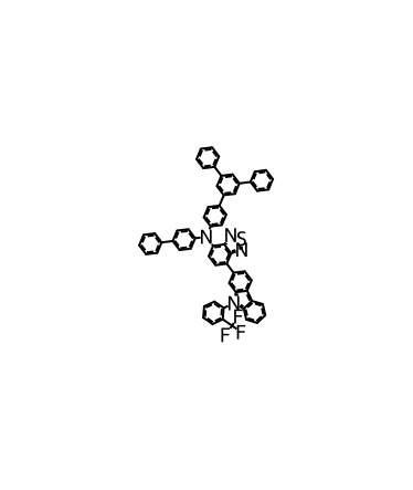 FC(F)(F)c1ccccc1-n1c2ccccc2c2ccc(-c3ccc(N(c4ccc(-c5ccccc5)cc4)c4ccc(-c5cc(-c6ccccc6)cc(-c6ccccc6)c5)cc4)c4nsnc34)cc21